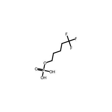 O=P(O)(O)OCCCCC(F)(F)F